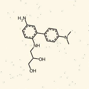 CN(C)c1ccc(-c2cc(N)ccc2NCC(O)CO)cc1